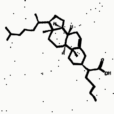 CCCCC(C(=O)O)[C@H]1CC[C@@]2(C)C(=CC[C@H]3[C@@H]4CC[C@H]([C@H](C)CCCC(C)C)[C@@]4(C)CC[C@@H]32)C1